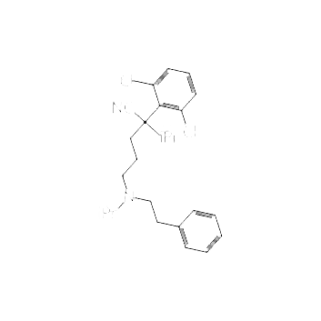 CC(C)N(CCCC(C#N)(c1c(Cl)cccc1Cl)C(C)C)CCc1ccccc1